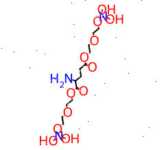 NC(CCC(=O)OCCOCCON(O)O)C(=O)OCCOCCON(O)O